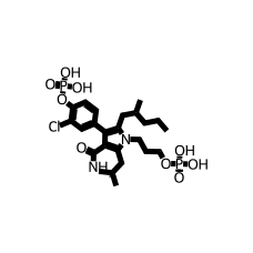 CCCC(C)Cc1c(-c2ccc(OP(=O)(O)O)c(Cl)c2)c(C(N)=O)c(CC(C)C)n1CCCOP(=O)(O)O